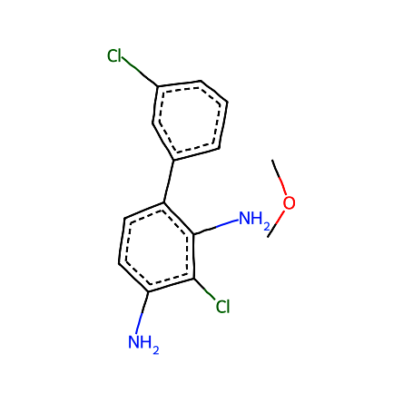 COC.Nc1ccc(-c2cccc(Cl)c2)c(N)c1Cl